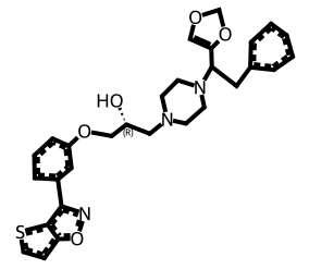 O[C@@H](COc1cccc(-c2noc3ccsc23)c1)CN1CCN(C(Cc2ccccc2)C2=COCO2)CC1